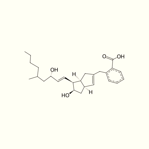 CCCCC(C)C[C@H](O)/C=C/[C@H]1[C@H]2CC(Cc3ccccc3C(=O)O)=C[C@H]2C[C@H]1O